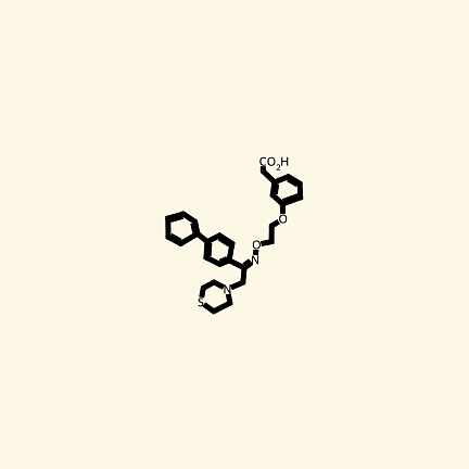 O=C(O)Cc1cccc(OCCON=C(CN2CCSCC2)c2ccc(-c3ccccc3)cc2)c1